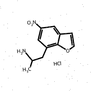 CC(N)Cc1cc([N+](=O)[O-])cc2ccoc12.Cl